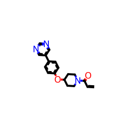 C=CC(=O)N1CCC(Oc2ccc(-c3cncnc3)cc2)CC1